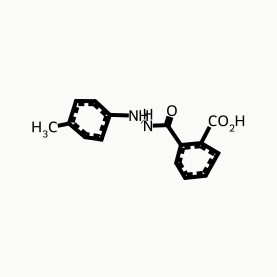 Cc1ccc(NNC(=O)c2ccccc2C(=O)O)cc1